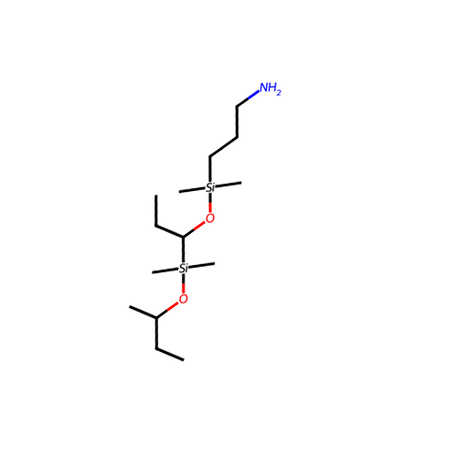 CCC(C)O[Si](C)(C)C(CC)O[Si](C)(C)CCCN